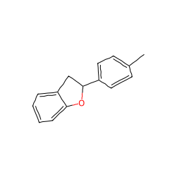 Cc1ccc(C2Cc3ccccc3O2)cc1